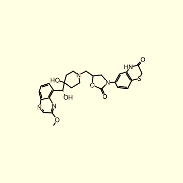 COc1cnc2cccc([C@@H](O)C3(O)CCN(CC4CN(c5ccc6c(c5)NC(=O)CS6)C(=O)O4)CC3)c2n1